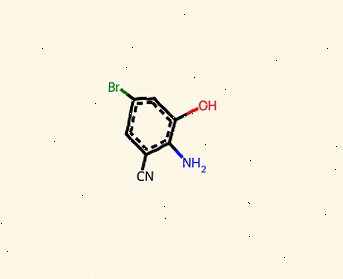 N#Cc1cc(Br)cc(O)c1N